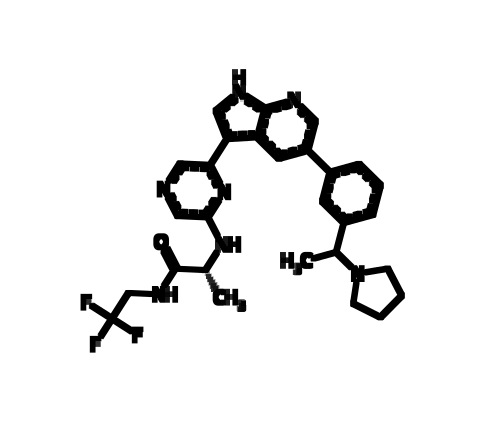 CC(c1cccc(-c2cnc3[nH]cc(-c4cncc(N[C@H](C)C(=O)NCC(F)(F)F)n4)c3c2)c1)N1CCCC1